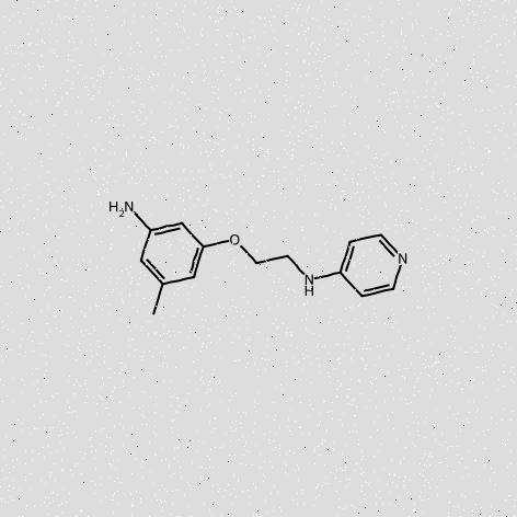 Cc1cc(N)cc(OCCNc2ccncc2)c1